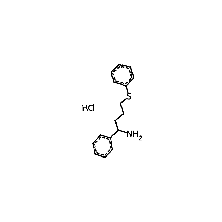 Cl.NC(CCCSc1ccccc1)c1ccccc1